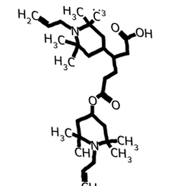 C=CCN1C(C)(C)CC(OC(=O)CCC(CC(=O)O)C2CC(C)(C)N(CC=C)C(C)(C)C2)CC1(C)C